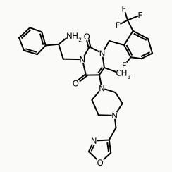 Cc1c(N2CCN(Cc3cocn3)CC2)c(=O)n(CC(N)c2ccccc2)c(=O)n1Cc1c(F)cccc1C(F)(F)F